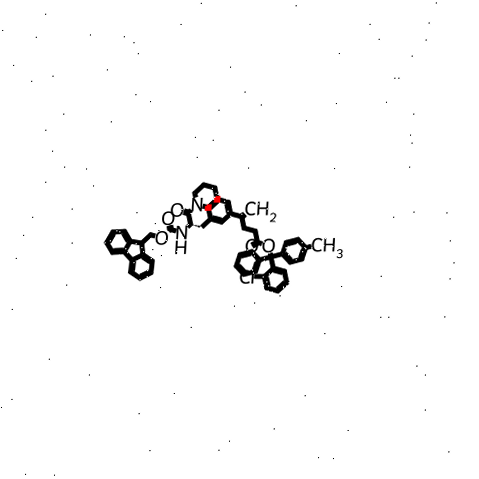 C=C(CCC(=O)OC(c1ccccc1)(c1ccc(C)cc1)c1ccccc1Cl)c1cccc(C[C@H](NC(=O)OCC2c3ccccc3-c3ccccc32)C(=O)N2CCCCC2)c1